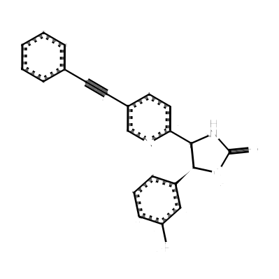 O=C1NC(c2ccc(C#Cc3ccccc3)cn2)[C@H](c2cccc(F)c2)O1